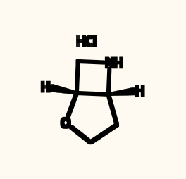 C1C[C@H]2NC[C@H]2O1.Cl